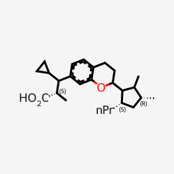 CCC[C@H]1C[C@@H](C)C(C)C1C1CCc2ccc(C(C3CC3)[C@H](C)C(=O)O)cc2O1